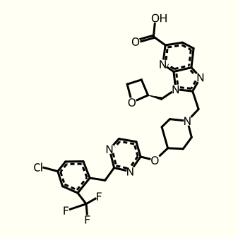 O=C(O)c1ccc2nc(CN3CCC(Oc4ccnc(Cc5ccc(Cl)cc5C(F)(F)F)n4)CC3)n(C[C@@H]3CCO3)c2n1